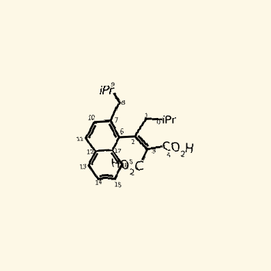 CC(C)CC(=C(C(=O)O)C(=O)O)c1c(CC(C)C)ccc2ccccc12